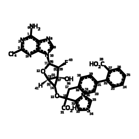 Nc1nc(Cl)nc2c1ncn2[C@@H]1O[C@@H]2C(OC(Cc3ccc(-c4ccccc4C(=O)O)cc3)(C(=O)O)c3cscn3)[C@]2(O)[C@@H]1F